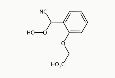 N#CC(OO)c1ccccc1OCC(=O)O